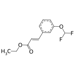 CCOC(=O)/C=C/c1cccc(OC(F)F)c1